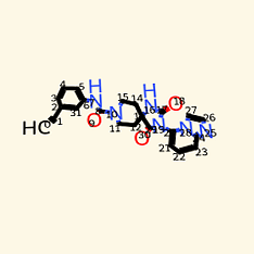 C#Cc1cccc(NC(=O)N2CCC3(CC2)NC(=O)N(c2cccc4nccn24)C3=O)c1